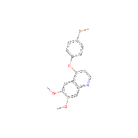 COc1cc2nccc(Oc3ccc(SC)cc3)c2cc1OC